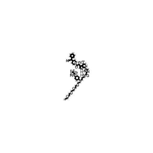 COc1cnc(-n2cnc(C(=O)NCCCN(CCOCCOCCOCCOCI)C3CCC(NC(=O)C(F)(F)F)CC3)n2)c2[nH]cc(C(=O)C(=O)N3CCC(=C(C#N)c4ccccc4)CC3)c12